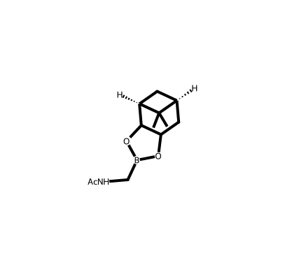 CC(=O)NCB1OC2C[C@@H]3C[C@H](C2O1)C3(C)C